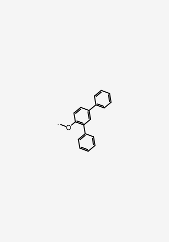 [CH2]Oc1ccc(-c2ccccc2)cc1-c1ccccc1